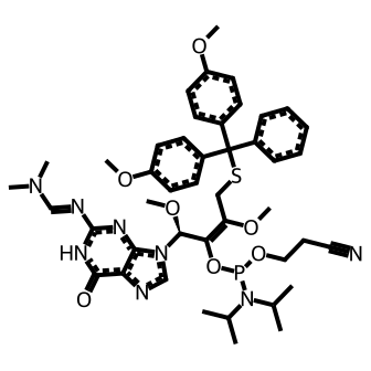 CO/C(CSC(c1ccccc1)(c1ccc(OC)cc1)c1ccc(OC)cc1)=C(\OP(OCCC#N)N(C(C)C)C(C)C)[C@H](OC)n1cnc2c(=O)[nH]c(/N=C/N(C)C)nc21